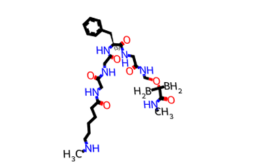 BC(B)(OCNC(=O)CNC(=O)[C@H](Cc1ccccc1)NC(=O)CNC(=O)CNC(=O)CCCCCNC)C(=O)NC